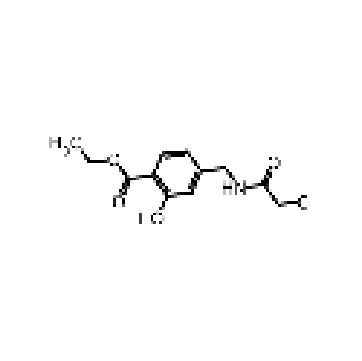 CCOC(=O)c1ccc(CNC(=O)CCl)cc1O